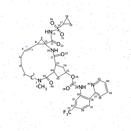 CN1CCCC/C=C\C2CC2(C(=O)NS(=O)(=O)C2CC2)NC(=O)C2CC(OC(=O)Nc3cc(C(F)(F)F)ccc3-c3ccccn3)CC2C1=O